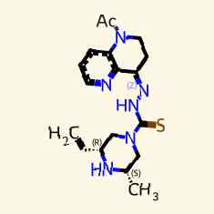 C=C[C@@H]1CN(C(=S)N/N=C2/CCN(C(C)=O)c3cccnc32)C[C@H](C)N1